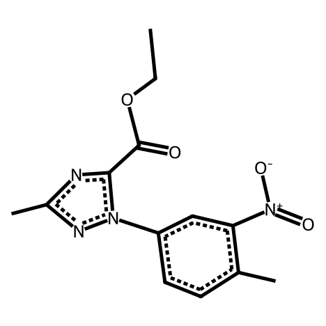 CCOC(=O)c1nc(C)nn1-c1ccc(C)c([N+](=O)[O-])c1